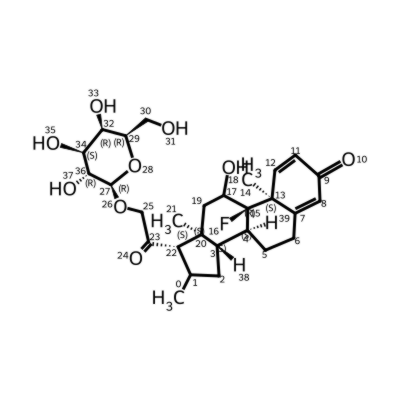 CC1C[C@H]2[C@@H]3CCC4=CC(=O)C=C[C@]4(C)[C@@]3(F)C(O)C[C@]2(C)[C@H]1C(=O)CO[C@@H]1O[C@H](CO)[C@H](O)[C@H](O)[C@H]1O